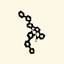 O=c1c2ccccc2c2ccc3c4cc(-c5cccc(-c6ccccc6)c5)ccc4n4c5ccc(-c6cccc(-c7ccccc7)c6)cc5n1c2c34